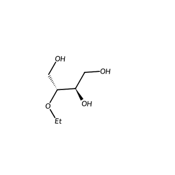 CCO[C@H](CO)[C@H](O)CO